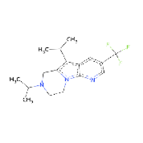 CC(C)c1c2n(c3ncc(C(F)(F)F)cc13)CCN(C(C)C)C2